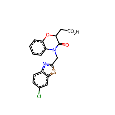 O=C(O)CC1Oc2ccccc2N(Cc2nc3ccc(Cl)cc3s2)C1=O